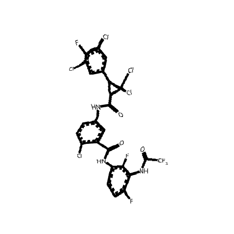 O=C(Nc1ccc(F)c(NC(=O)C(F)(F)F)c1F)c1cc(NC(=O)C2C(c3cc(Cl)c(F)c(Cl)c3)C2(Cl)Cl)ccc1Cl